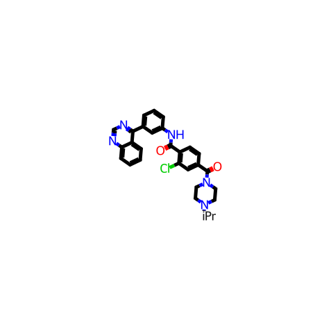 CC(C)N1CCN(C(=O)c2ccc(C(=O)Nc3cccc(-c4ncnc5ccccc45)c3)c(Cl)c2)CC1